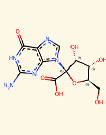 Nc1nc2c(ncn2[C@]2(C(=O)O)O[C@H](CO)[C@@H](O)[C@H]2O)c(=O)[nH]1